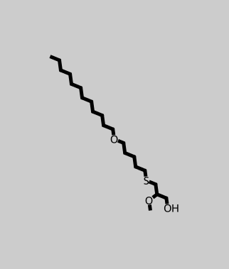 CCCCCCCCCCCCOCCCCCSCC(CO)OC